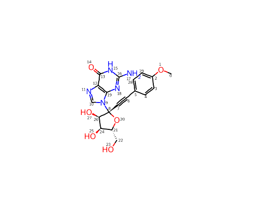 COc1ccc(C#C[C@@]2(n3cnc4c(=O)[nH]c(N)nc43)O[C@H](CO)[C@@H](O)[C@H]2O)cc1